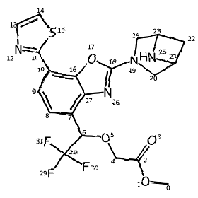 COC(=O)COC(c1ccc(-c2nccs2)c2oc(N3CC4CC(C3)N4)nc12)C(F)(F)F